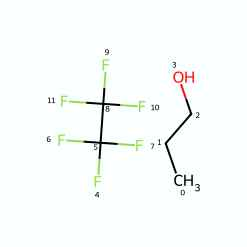 CCCO.FC(F)(F)C(F)(F)F